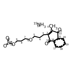 CC1=C(CCCOCCCO[N+](=O)[O-])C(=O)c2ccccc2C1=O.[15NH3]